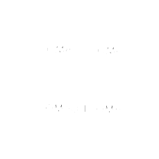 COc1ccc(OC)c(C(O)c2cc(OC)ccc2OC)c1